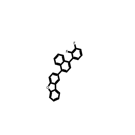 Fc1cccc(-c2ccc(-c3ccc4oc5ccccc5c4c3)c3ccccc23)c1F